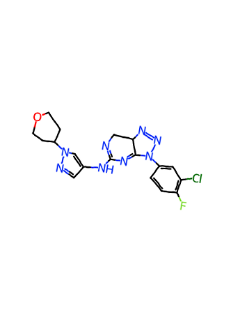 Fc1ccc(N2N=NC3CN=C(Nc4cnn(C5CCOCC5)c4)N=C32)cc1Cl